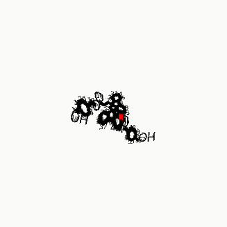 O=C(CCC1(CC2(CCC(=O)OCC3CCC(CO)CC3)c3ccccc3-c3ccccc32)c2ccccc2-c2ccccc21)OCC1CCC(CO)CC1